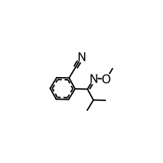 CON=C(c1ccccc1C#N)C(C)C